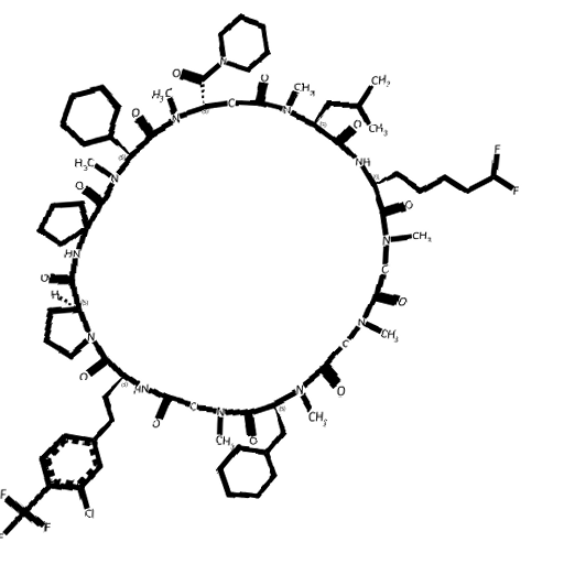 CC(C)C[C@H]1C(=O)N[C@@H](CCCCC(F)F)C(=O)N(C)CC(=O)N(C)CC(=O)N(C)[C@@H](CC2CCCCC2)C(=O)N(C)CC(=O)N[C@@H](CCc2ccc(C(F)(F)F)c(Cl)c2)C(=O)N2CCC[C@H]2C(=O)NC2(CCCC2)C(=O)N(C)[C@@H](C2CCCCC2)C(=O)N(C)[C@H](C(=O)N2CCCCC2)CC(=O)N1C